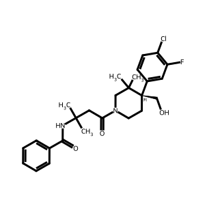 CC(C)(CC(=O)N1CC[C@@](CO)(c2ccc(Cl)c(F)c2)C(C)(C)C1)NC(=O)c1ccccc1